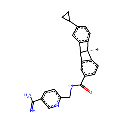 N=C(N)c1ccc(CNC(=O)c2ccc3c(c2)C2c4cc(C5CC5)ccc4[C@@H]32)nc1